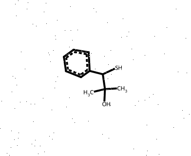 CC(C)(O)C(S)c1ccccc1